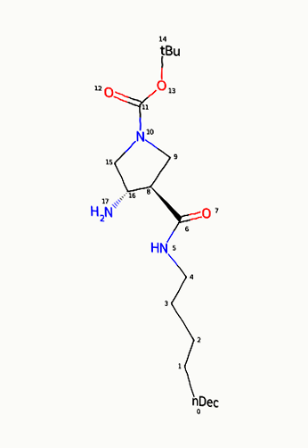 CCCCCCCCCCCCCCNC(=O)[C@@H]1CN(C(=O)OC(C)(C)C)C[C@H]1N